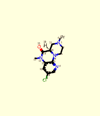 CC(C)N1CCN2c3ncc(Cl)cc3N(C)C(=O)[C@H]2C1